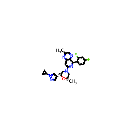 Cc1cnc2c(-c3ccc(F)cc3F)nc(N3C[C@@H](c4cnn(C5CC5)c4)O[C@@H](C)C3)cc2n1